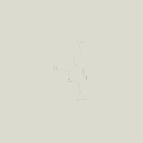 CCCc1cnc(C2CC2)nc1O